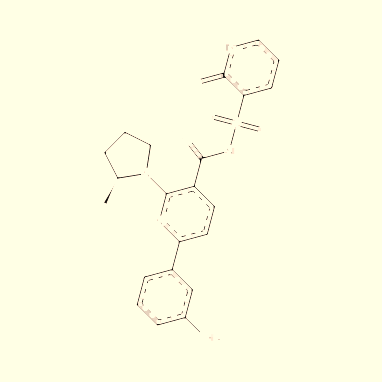 CC(C)COc1cccc(-c2ccc(C(=O)NS(=O)(=O)c3ccc[nH]c3=O)c(N3[C@@H](C)CC[C@@H]3C)n2)c1